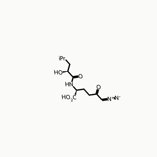 CC(C)C[C@H](O)C(=O)N[C@@H](CCC(=O)C=[N+]=[N-])C(=O)O